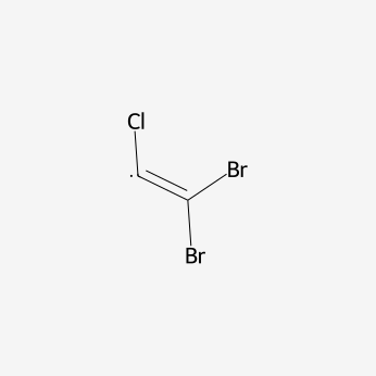 Cl[C]=C(Br)Br